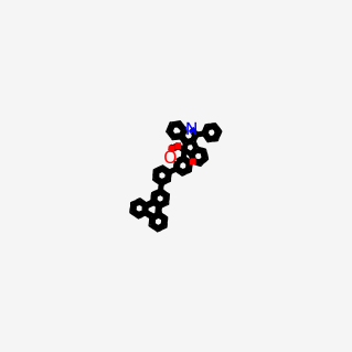 c1ccc(-c2nc3ccccc3c3c2-c2ccccc2C32c3ccccc3Oc3c(-c4cccc(-c5ccc6c7ccccc7c7ccccc7c6c5)c4)cccc32)cc1